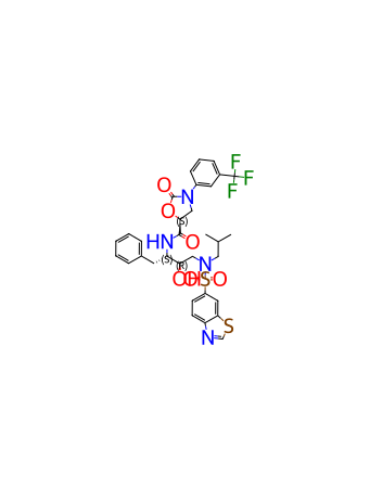 CC(C)CN(C[C@@H](O)[C@H](Cc1ccccc1)NC(=O)[C@@H]1CN(c2cccc(C(F)(F)F)c2)C(=O)O1)S(=O)(=O)c1ccc2ncsc2c1